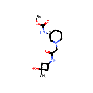 CC1(O)CC(NC(=O)CN2CCC[C@@H](NC(=O)OC(C)(C)C)C2)C1